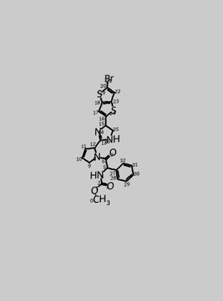 COC(=O)NC(C(=O)N1CC=CC1C1=NC(c2cc3sc(Br)cc3s2)CN1)c1ccccc1